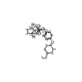 CCC1CCC(Oc2ccc(O[C@H]3C[C@H]4CC[C@@H](C3)N4S(C)(=O)=O)nn2)CC1